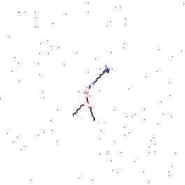 CCCCCCCCCCCCCCCC(=O)OCC(COP(C)(=O)OCCNC(=O)CCCCC1SC[C@@H]2NC(=O)N[C@H]12)OC(=O)CCCCCCCCCCCCCCC